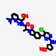 CC(C(=O)NC(CO)c1cccc(N(C)C)n1)N1Cc2ccc(-c3nc(N[C@@H]4CC[C@@H](O)C4)ncc3Cl)cc2C1=O